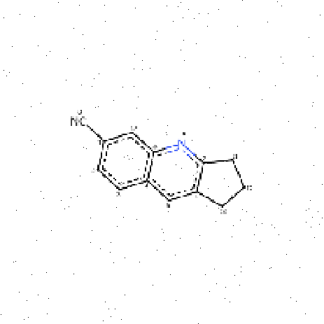 N#Cc1ccc2cc3c(nc2c1)CCC3